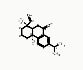 CC(C)c1ccc2c(c1)C(=O)CC1[C@@](C)(C=O)CCC[C@]21C